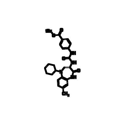 Cc1ccc2c(c1)NC(=O)C(NC(=O)Nc1ccc(C(=O)OC(C)(C)C)cc1)CN2C1CCCCC1